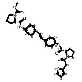 CCC(=O)N1CCC[C@H]1C(=O)Nc1ccc(/C=C/c2ccc(NC(=O)[C@@H]3CCCN3C(=O)Cc3cccs3)cc2)cc1